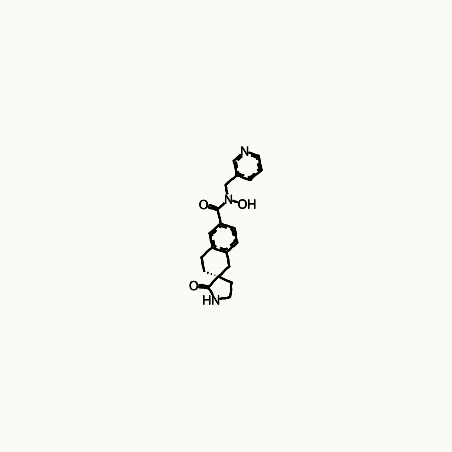 O=C(c1ccc2c(c1)CC[C@@]1(CCNC1=O)C2)N(O)Cc1cccnc1